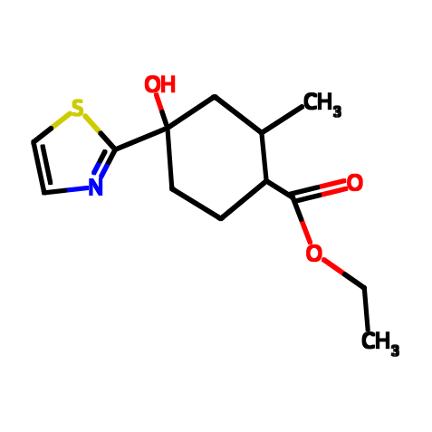 CCOC(=O)C1CCC(O)(c2nccs2)CC1C